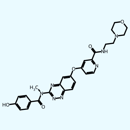 CN(C(=O)c1ccc(O)cc1)c1nnc2ccc(Oc3ccnc(C(=O)NCCN4CCOCC4)c3)cc2n1